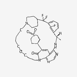 C[C@@H]1Nc2ncnc3c2cc(C2CCS(=O)(=O)CC2)c(=O)n3CCCOCCCCN2CCC(CC2)C(F)(F)c2cccc1c2F